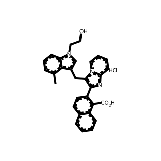 Cc1cccc2c1c(Cc1c(-c3ccc4ccccc4c3C(=O)O)nc3ccccn13)cn2CCO.Cl